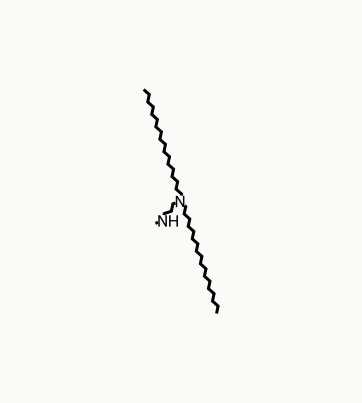 CCCCCCCCCCCCCCCCCCN(CCCCCCCCCCCCCCCCCC)CCCNC